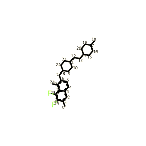 Cc1cc2ccc(CC3CCC(CCC4CCC(C)CC4)CC3)c(C)c2c(F)c1F